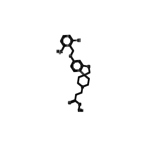 Cc1cccc(Cl)c1COc1ccc2c(c1)OCC21CCN(CCC(=O)OC(C)(C)C)CC1